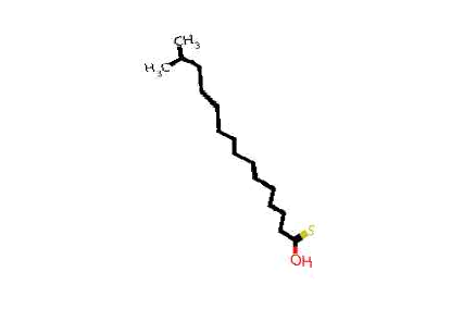 CC(C)CCCCCCCCCCCCC(O)=S